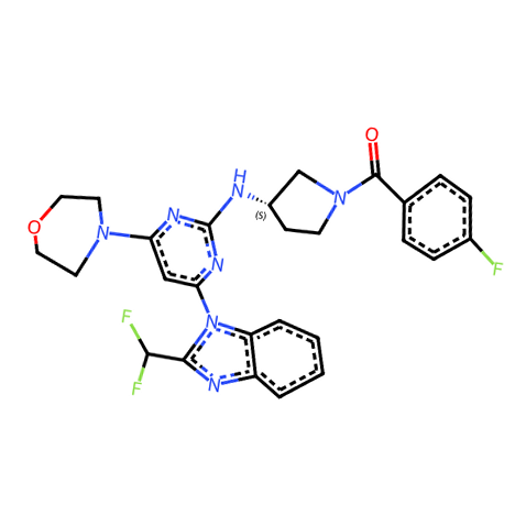 O=C(c1ccc(F)cc1)N1CC[C@H](Nc2nc(N3CCOCC3)cc(-n3c(C(F)F)nc4ccccc43)n2)C1